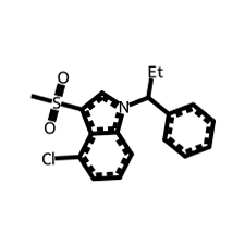 [CH2]CC(c1ccccc1)n1cc(S(C)(=O)=O)c2c(Cl)cccc21